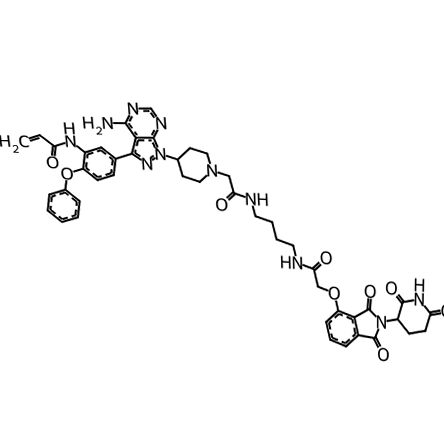 C=CC(=O)Nc1cc(-c2nn(C3CCN(CC(=O)NCCCCNC(=O)COc4cccc5c4C(=O)N(C4CCC(=O)NC4=O)C5=O)CC3)c3ncnc(N)c23)ccc1Oc1ccccc1